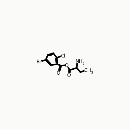 CCC(N)C(=O)OC(=O)c1cc(Br)ccc1Cl